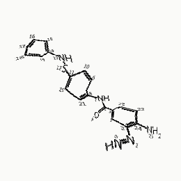 N=Nc1cc(C(=O)Nc2ccc(SNc3ccccc3)cc2)ccc1N